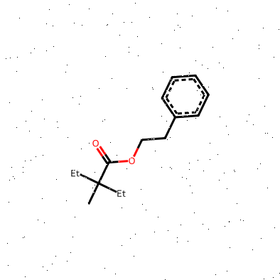 CCC(C)(CC)C(=O)OCCc1ccccc1